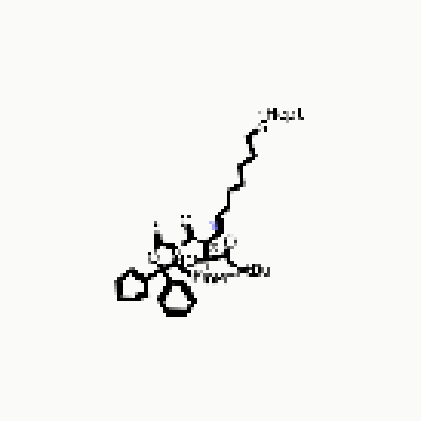 CCCCCCCSCCCCCC/C=C/[C@H](C(=O)N1C(=S)OC(c2ccccc2)(c2ccccc2)C1C(C)C)[C@@](O)(CCC)C(=O)OC(C)(C)C